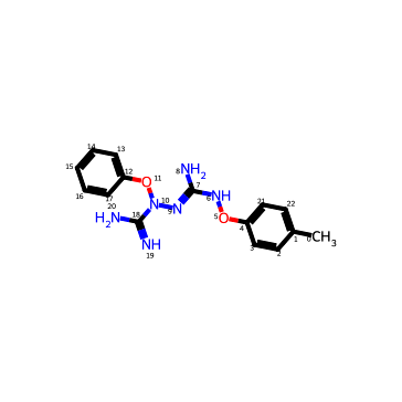 Cc1ccc(ONC(N)=NN(Oc2ccccc2)C(=N)N)cc1